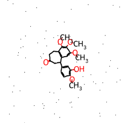 COc1ccc(C2CC(=O)CCc3c2cc(OC)c(OC)c3OC)cc1O